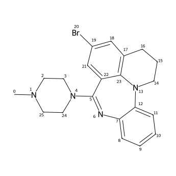 CN1CCN(C2=Nc3ccccc3N3CCCc4cc(Br)cc2c43)CC1